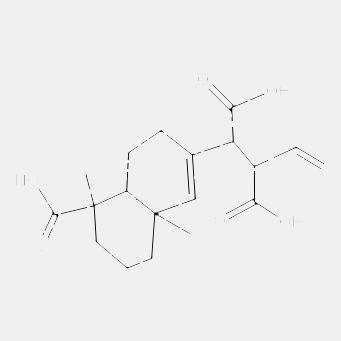 C=CC(C(=O)O)C(C(=O)O)C1=CC2(C)CCCC(C)(C(=O)O)C2CC1